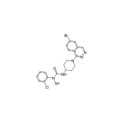 O=C(NC1CCN(c2nncc3cc(Br)ccc23)CC1)N(S)c1ccccc1Cl